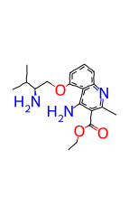 CCOC(=O)c1c(C)nc2cccc(OC[C@@H](N)C(C)C)c2c1N